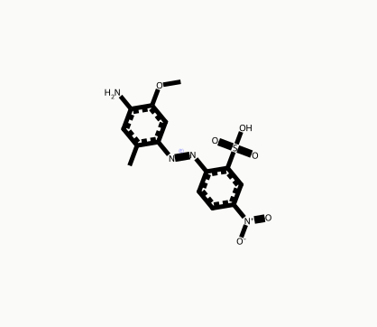 COc1cc(/N=N/c2ccc([N+](=O)[O-])cc2S(=O)(=O)O)c(C)cc1N